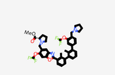 COC(=O)[C@@H]1CCCN1Cc1cc2nc(-c3cccc(-c4cccc(-c5ccc(CN6CCCC6)c(OC(F)F)c5)c4C)c3C)oc2cc1OC(F)F